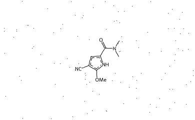 COc1[nH]c(C(=O)N(C)C)cc1C#N